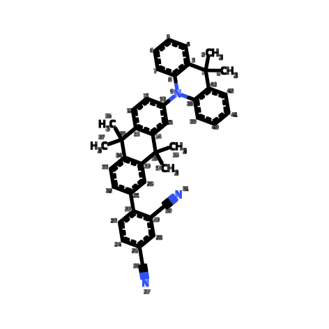 CC1(C)c2ccccc2N(c2ccc3c(c2)C(C)(C)c2cc(-c4ccc(C#N)cc4C#N)ccc2C3(C)C)c2ccccc21